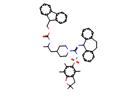 Cc1c(C)c(S(=O)(=O)N/C(=N\C2c3ccccc3CCc3ccccc32)N2CCC(CC(NC(=O)OCC3c4ccccc4-c4ccccc43)C(=O)O)CC2)c(C)c2c1OC(C)(C)C2